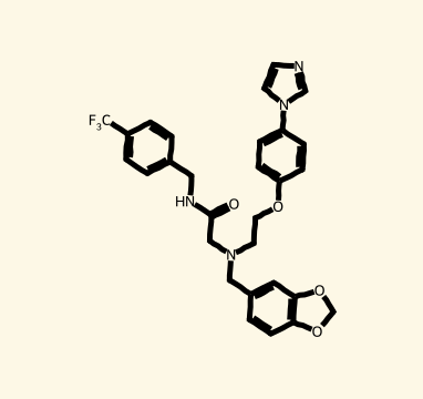 O=C(CN(CCOc1ccc(-n2ccnc2)cc1)Cc1ccc2c(c1)OCO2)NCc1ccc(C(F)(F)F)cc1